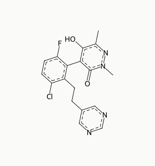 Cc1nn(C)c(=O)c(-c2c(F)ccc(Cl)c2CCc2cncnc2)c1O